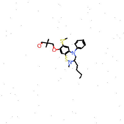 CCCCC1CN(c2ccccc2)c2cc(SC)c(OCC(C)(C)C=O)cc2SN1C